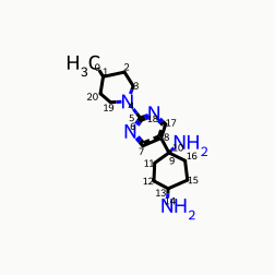 CC1CCN(c2ncc(C3(N)CCC(N)CC3)cn2)CC1